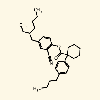 CCCCc1ccc(C2(C(=O)Oc3ccc(CC(CC)CCCC)cc3C#N)CCCCC2)cc1